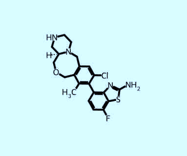 Cc1c2c(cc(Cl)c1-c1ccc(F)c3sc(N)nc13)CN1CCNC[C@@H]1COC2